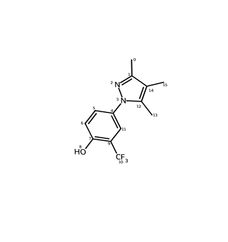 Cc1nn(-c2ccc(O)c(C(F)(F)F)c2)c(C)c1C